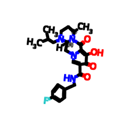 CC(C)CN1CC[C@@H](C)N2C(=O)c3c(O)c(=O)c(C(=O)NCc4ccc(F)cc4)cn3C[C@H]12